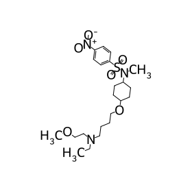 CCN(CCCCOC1CCC(N(C)S(=O)(=O)c2ccc([N+](=O)[O-])cc2)CC1)CCOC